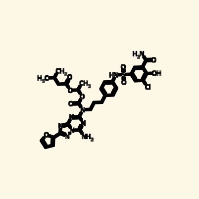 CC(C)CC(=O)OC(C)OC(=O)N(CCCc1ccc(NS(=O)(=O)c2cc(Cl)c(O)c(C(N)=O)c2)cc1)c1nc(N)n2nc(-c3ccco3)nc2n1